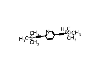 C[Si](C)(C)C#Cc1ccc(C#C[Si](C)(C)C)nc1